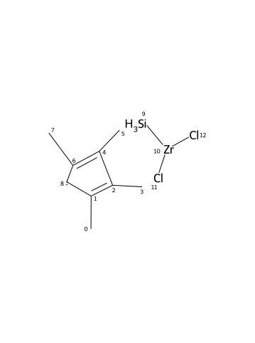 CC1=C(C)C(C)=C(C)[CH]1.[SiH3][Zr]([Cl])[Cl]